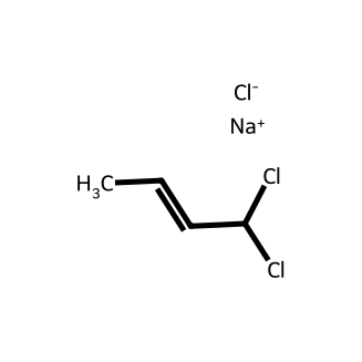 CC=CC(Cl)Cl.[Cl-].[Na+]